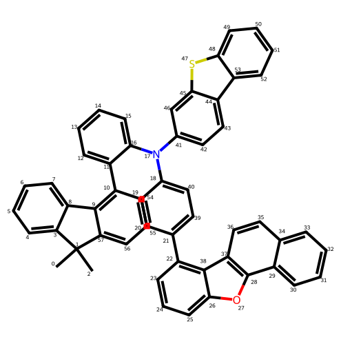 CC1(C)c2ccccc2-c2c(-c3ccccc3N(c3ccc(-c4cccc5oc6c7ccccc7ccc6c45)cc3)c3ccc4c(c3)sc3ccccc34)cccc21